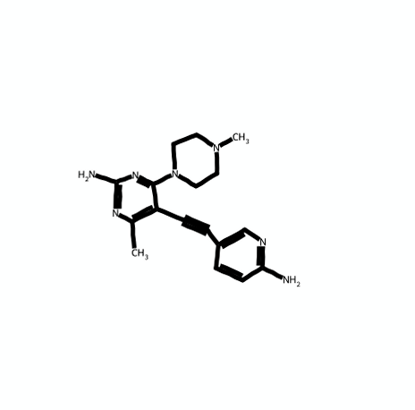 Cc1nc(N)nc(N2CCN(C)CC2)c1C#Cc1ccc(N)nc1